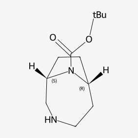 CC(C)(C)OC(=O)N1[C@H]2CCNC[C@@H]1CC2